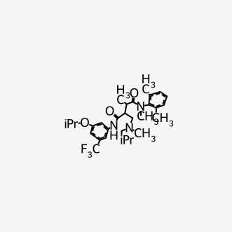 Cc1cccc(C)c1N(C)C(=O)C(C)C(CN(C)CC(C)C)C(=O)Nc1cc(OC(C)C)cc(C(F)(F)F)c1